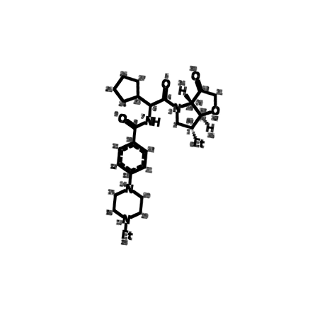 CC[C@@H]1CN(C(=O)C(NC(=O)c2ccc(N3CCN(CC)CC3)cc2)C2CCCC2)[C@@H]2C(=O)CO[C@@H]12